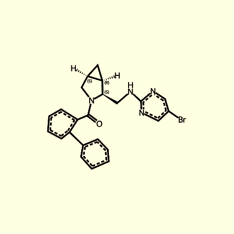 O=C(c1ccccc1-c1ccccc1)N1C[C@H]2C[C@H]2[C@H]1CNc1ncc(Br)cn1